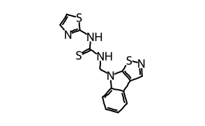 S=C(NCn1c2ccccc2c2cnsc21)Nc1nccs1